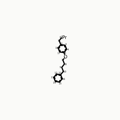 CC(C)Cc1ccc(OCCCCc2ccccc2)cc1